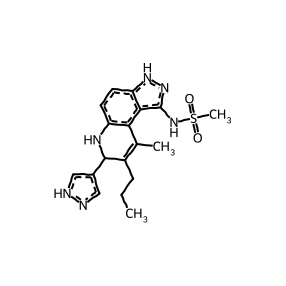 CCCC1=C(C)c2c(ccc3[nH]nc(NS(C)(=O)=O)c23)NC1c1cn[nH]c1